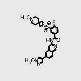 CN1CCC2(CC1)CN(S(=O)(=O)c1cc(C(=O)Nc3cc4cc(-c5cnn(C)c5)ccc4cn3)ccc1F)C2